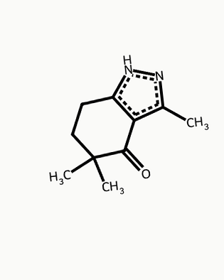 Cc1n[nH]c2c1C(=O)C(C)(C)CC2